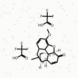 COC1=C2O[C@H]3C(=O)C=C[C@H]4[C@H]5CC(C=C1)C2[C@@]34CCN5C.O=C(O)C(F)(F)F.O=C(O)C(F)(F)F